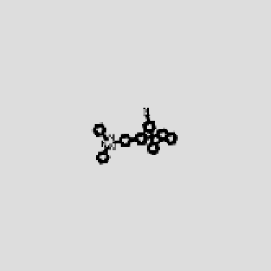 N#Cc1ccc(C2(c3ccc(-c4ccc(-c5nc(-c6ccccc6)nc(-c6ccccc6)n5)cc4)cc3)c3ccccc3-c3c2ccc2ccccc32)cc1